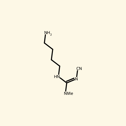 CNC(=NC#N)NCCCCN